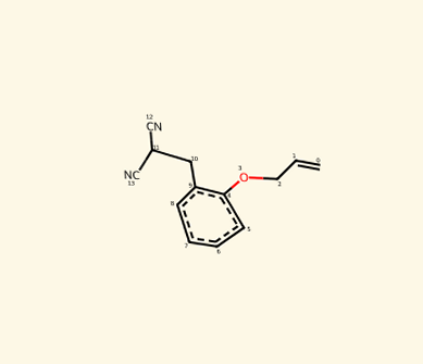 C=CCOc1ccccc1CC(C#N)C#N